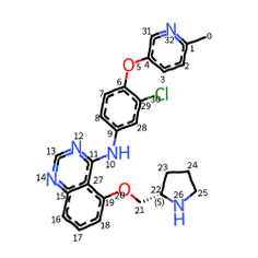 Cc1ccc(Oc2ccc(Nc3ncnc4cccc(OC[C@@H]5CCCN5)c34)cc2Cl)cn1